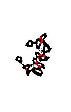 Cc1cc(-c2ccc(N(c3cccc(-c4ccccc4)c3)c3c(-c4ccccc4)cccc3-c3ccccc3)c(C)c2)ccc1N(c1cccc(-c2ccccc2)c1)c1c(-c2ccccc2)cccc1-c1ccccc1